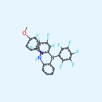 COc1ccc(/N=N/c2ccccc2B(c2c(F)c(F)c(F)c(F)c2F)c2c(F)c(F)c(F)c(F)c2F)cc1